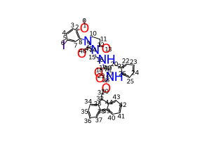 COc1ccc(I)cc1N1CCC(=O)N(CNC(=O)[C@H](Cc2ccccc2)NC(=O)OCC2c3ccccc3-c3ccccc32)C1=O